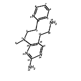 CN(CCc1ccccn1)c1nc(N)ncc1CCN